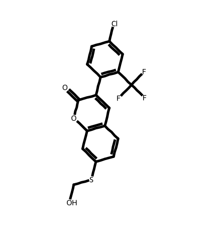 O=c1oc2cc(SCO)ccc2cc1-c1ccc(Cl)cc1C(F)(F)F